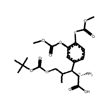 COC(=O)Oc1ccc(C(C(C)COC(=O)OC(C)(C)C)[C@H](N)C(=O)O)cc1OC(=O)OC